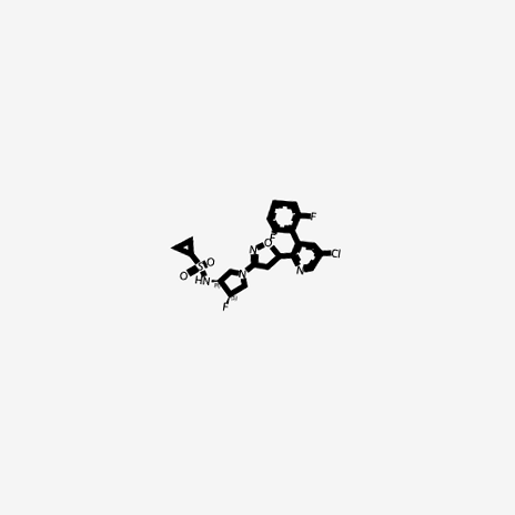 O=S(=O)(N[C@@H]1CN(C2=NOC(c3ncc(Cl)cc3-c3c(F)cccc3F)C2)C[C@@H]1F)C1CC1